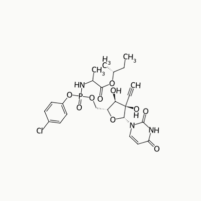 C#C[C@@]1(O)[C@H](O)[C@@H](COP(=O)(NC(C)C(=O)O[C@H](C)CC)Oc2ccc(Cl)cc2)O[C@H]1n1ccc(=O)[nH]c1=O